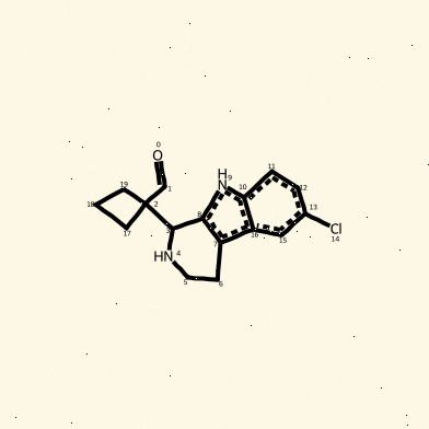 O=CC1(C2NCCc3c2[nH]c2ccc(Cl)cc32)CCC1